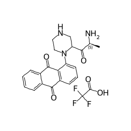 C[C@H](N)C(=O)C1CNCCN1c1cccc2c1C(=O)c1ccccc1C2=O.O=C(O)C(F)(F)F